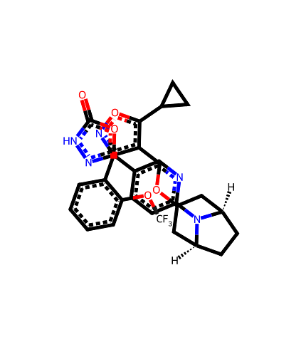 O=c1[nH]nc(-c2ccc(N3[C@@H]4CC[C@H]3CC(OCc3c(-c5ccccc5OC(F)(F)F)noc3C3CC3)C4)nc2)o1